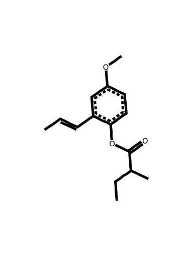 CC=Cc1cc(OC)ccc1OC(=O)C(C)CC